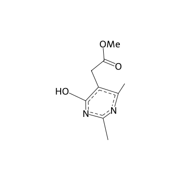 COC(=O)Cc1c(C)nc(C)nc1O